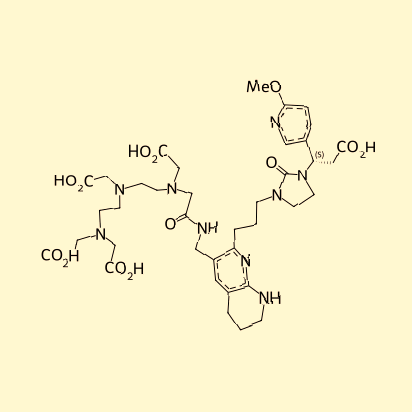 COc1ccc([C@H](CC(=O)O)N2CCN(CCCc3nc4c(cc3CNC(=O)CN(CCN(CCN(CC(=O)O)CC(=O)O)CC(=O)O)CC(=O)O)CCCN4)C2=O)cn1